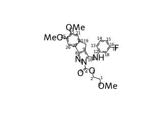 COCCOC(=O)n1nc2c(c1Nc1cccc(F)c1)Cc1cc(OC)c(OC)cc1-2